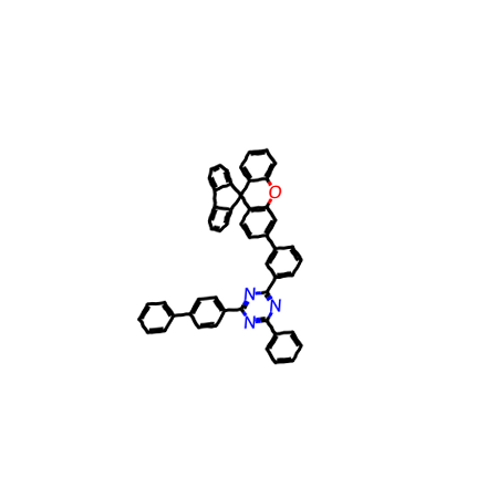 c1ccc(-c2ccc(-c3nc(-c4ccccc4)nc(-c4cccc(-c5ccc6c(c5)Oc5ccccc5C65c6ccccc6-c6ccccc65)c4)n3)cc2)cc1